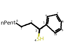 CCCCCCCC(S)c1ccccc1